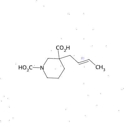 C/C=C/CC1(C(=O)O)CCCN(C(=O)O)C1